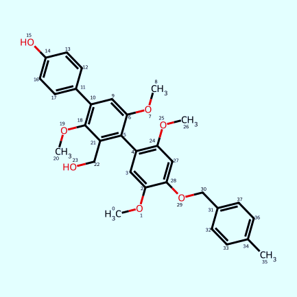 COc1cc(-c2c(OC)cc(-c3ccc(O)cc3)c(OC)c2CO)c(OC)cc1OCc1ccc(C)cc1